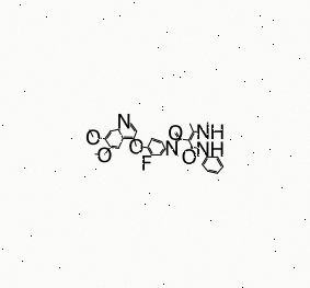 CN/C(C)=C(\C(=O)Nc1ccccc1)C(=O)N(C)c1ccc(Oc2ccnc3cc(OC)c(OC)cc23)c(F)c1